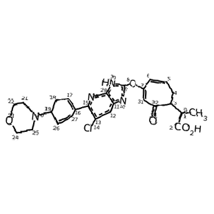 CC(C(=O)O)C1CC=CC(Oc2nc3cc(Cl)c(C4=CCC(N5CCOCC5)C=C4)nc3[nH]2)=CC1=O